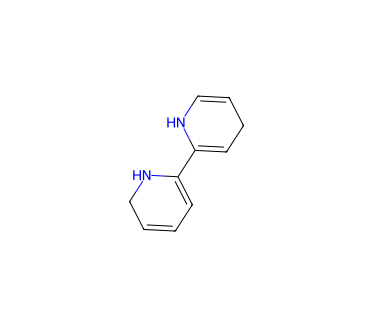 C1=CCNC(C2=CCC=CN2)=C1